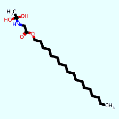 CCCCCCCCCCCCCCCCCCOC(=O)CNC(C)(O)O